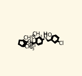 COc1cc(NCc2cc(Cl)ccc2O)ccc1C(=O)OC1CC2CCC1(C)C2(C)C